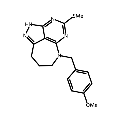 COc1ccc(CN2CCCc3n[nH]c4nc(SC)nc2c34)cc1